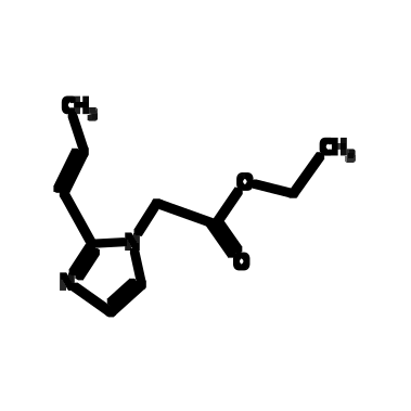 C/C=C/c1nccn1CC(=O)OCC